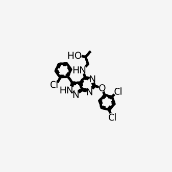 CC(O)CNc1nc(Oc2ccc(Cl)cc2Cl)nc2n[nH]c(-c3ccccc3Cl)c12